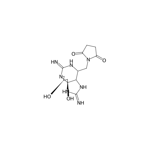 N=C1NC2C(CN3C(=O)CCC3=O)NC(=N)N3C[C@H](O)[C@@H](O)[C@]23N1